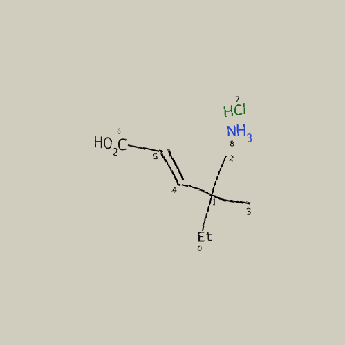 CCC(C)(C)C=CC(=O)O.Cl.N